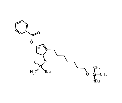 CC(C)(C)[Si](C)(C)OCCCCCCCC1=C[C@@H](OC(=O)c2ccccc2)CC1O[Si](C)(C)C(C)(C)C